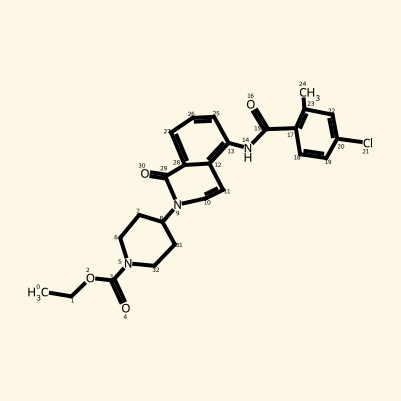 CCOC(=O)N1CCC(n2ccc3c(NC(=O)c4ccc(Cl)cc4C)cccc3c2=O)CC1